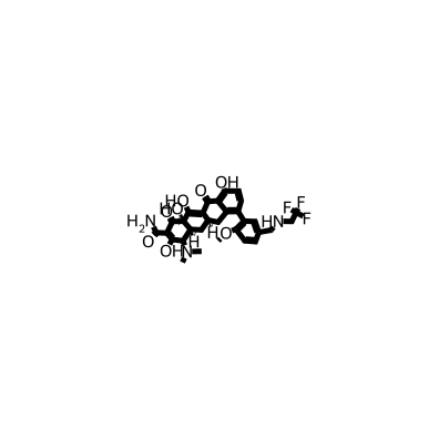 COc1ccc(CNCC(F)(F)F)cc1-c1ccc(O)c2c1C[C@H]1C[C@@H]3C(N(C)C)C(O)=C(C(N)=O)C(=O)[C@]3(O)C(O)=C1C2=O